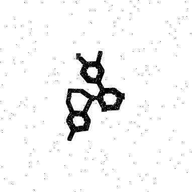 Cc1ccc2c(c1)CCCN2c1n[c]ncc1-c1ccc(F)c(C)c1